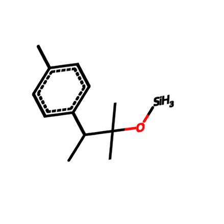 Cc1ccc(C(C)C(C)(C)O[SiH3])cc1